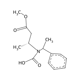 COC(=O)C[C@@H](C)N(C(=O)O)C(C)c1ccccc1